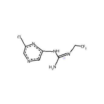 N/C(=N/CC(F)(F)F)Nc1cncc(Cl)n1